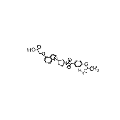 CC(C)Oc1ccc(S(=O)(=O)N2CC[C@@H](n3ccc4c(OCC(=O)O)cccc43)C2)cc1